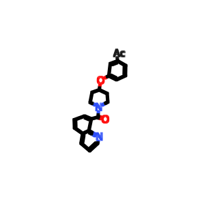 CC(=O)c1cccc(OC2CCN(C(=O)c3cccc4cccnc34)CC2)c1